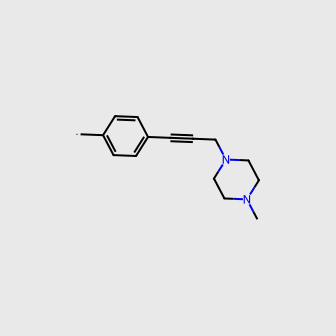 [CH2]c1ccc(C#CCN2CCN(C)CC2)cc1